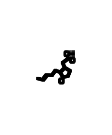 CC=CCCC1C(=O)CCC1CC(=O)O